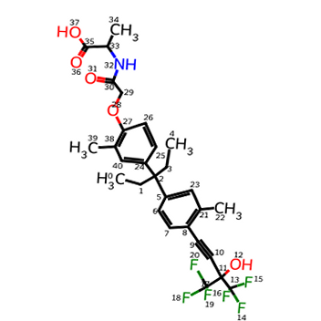 CCC(CC)(c1ccc(C#CC(O)(C(F)(F)F)C(F)(F)F)c(C)c1)c1ccc(OCC(=O)NC(C)C(=O)O)c(C)c1